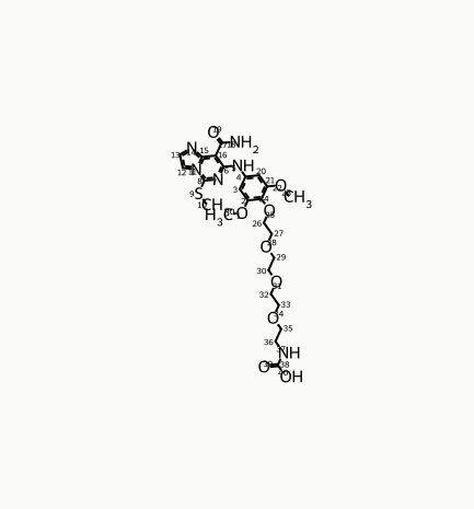 COc1cc(Nc2nc(SC)n3ccnc3c2C(N)=O)cc(OC)c1OCCOCCOCCOCCNC(=O)O